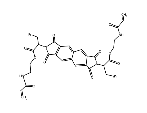 C=CC(=O)NCCOC(=O)C(CC(C)C)n1c(=O)c2cc3cc4c(=O)n(C(CC(C)C)C(=O)OCCNC(=O)C=C)c(=O)c4cc3cc2c1=O